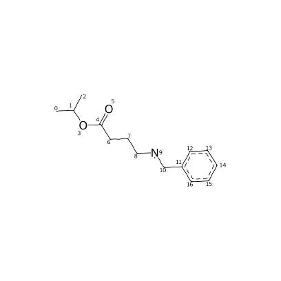 CC(C)OC(=O)CCC[N]Cc1ccccc1